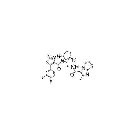 Cc1nc(C(=O)N2[C@@H]3CC[C@@H](C3)[C@H]2CNC(=O)c2c(C)nc3sccn23)c(-c2ccc(F)c(F)c2)s1